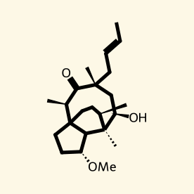 C/C=C/C[C@]1(C)C[C@@H](O)[C@@]2(C)C3[C@H](OC)CCC3(CC[C@H]2C)[C@@H](C)C1=O